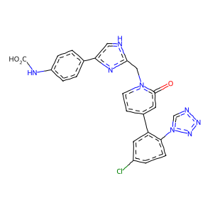 O=C(O)Nc1ccc(-c2c[nH]c(Cn3ccc(-c4cc(Cl)ccc4-n4cnnn4)cc3=O)n2)cc1